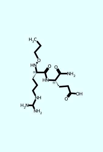 CCCON[C@@H](CCCNC(N)N)C(=O)N[C@@H](CCC(=O)O)C(N)=O